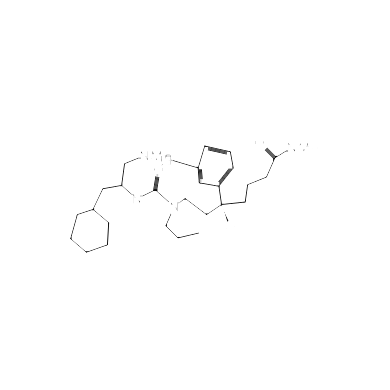 CNCC(CC1CCCCC1)NC(=O)N1CCC[C@@H]([C@@](O)(CCCC(=O)NC)c2cccc(Cl)c2)C1